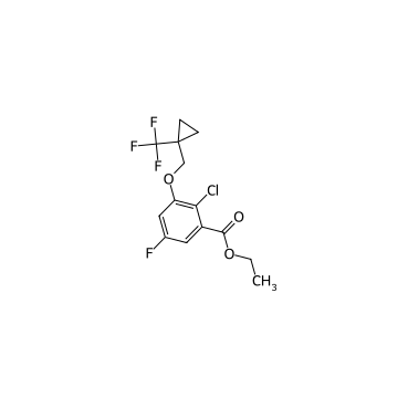 CCOC(=O)c1cc(F)cc(OCC2(C(F)(F)F)CC2)c1Cl